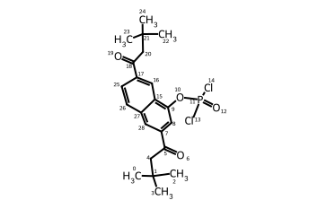 CC(C)(C)CC(=O)c1cc(OP(=O)(Cl)Cl)c2cc(C(=O)CC(C)(C)C)ccc2c1